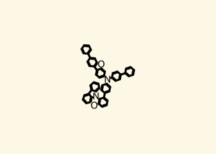 c1ccc(-c2ccc(N(c3ccc(-c4cccc5c4-n4c6ccccc6c6cccc(c64)O5)cc3)c3ccc4c(c3)oc3cc(-c5ccccc5)ccc34)cc2)cc1